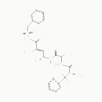 CN[C@H](C(=O)NC(C(=O)N(C)[C@H](/C=C(\C)C(=O)NS(=O)(=O)Cc1ccccc1)C(C)C)C(C)(C)C)C(C)(C)c1ccccc1